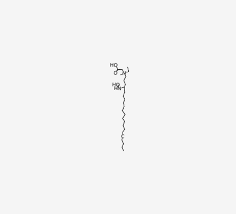 CCCCCCCCCCCCCCCCCC(CCC[N+](C)(CC)CC(=O)O)NO